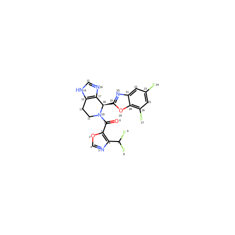 O=C(c1ocnc1C(F)F)N1CCc2[nH]cnc2[C@H]1c1nc2cc(F)cc(F)c2o1